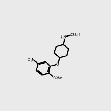 COc1ccc([N+](=O)[O-])cc1OC1CCC(NC(=O)O)CC1